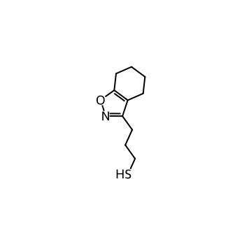 SCCCc1noc2c1CCCC2